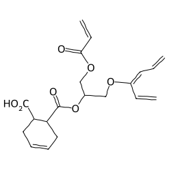 C=C/C=C(\C=C)OCC(COC(=O)C=C)OC(=O)C1CC=CCC1C(=O)O